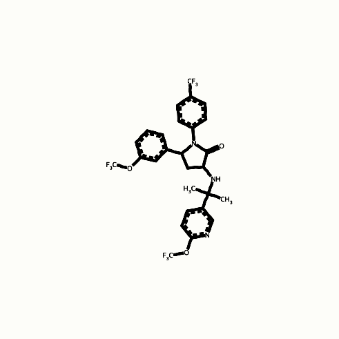 CC(C)(NC1CC(c2cccc(OC(F)(F)F)c2)N(c2ccc(C(F)(F)F)cc2)C1=O)c1ccc(OC(F)(F)F)nc1